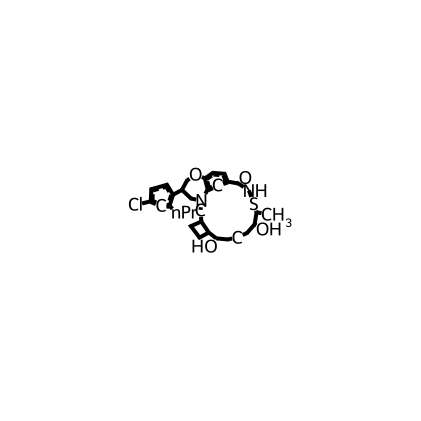 CCCc1cc(Cl)ccc1C1COc2ccc3cc2N(C1)CC1CCC1C(O)CCCC(O)C(C)SNC3=O